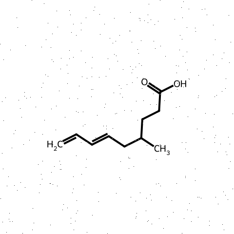 C=CC=CCC(C)CCC(=O)O